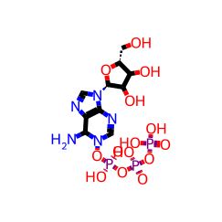 NC1c2ncn([C@@H]3O[C@H](CO)C(O)C3O)c2N=CN1OP(=O)(O)OP(=O)(O)OP(=O)(O)O